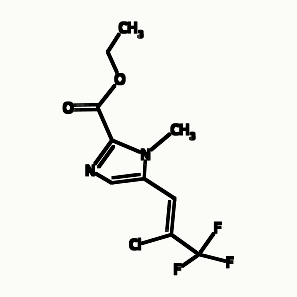 CCOC(=O)c1ncc(C=C(Cl)C(F)(F)F)n1C